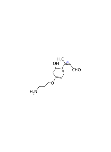 C/C(=C/C=O)C1=CC=C(OCCCN)CC1O